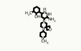 CC1CCCC(C2CC(N3CCN(C4CCN(C)CC4)C4(COC4)C3)C(N)NN2)C1O